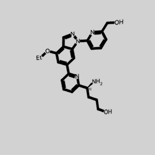 CCOc1cc(-c2cccc([C@@H](N)CCCO)n2)cc2c1cnn2-c1cccc(CO)n1